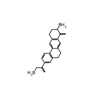 BCC(=C)c1ccc2c(c1)CCc1cc3c(cc1-2)CCC(B)C3=C